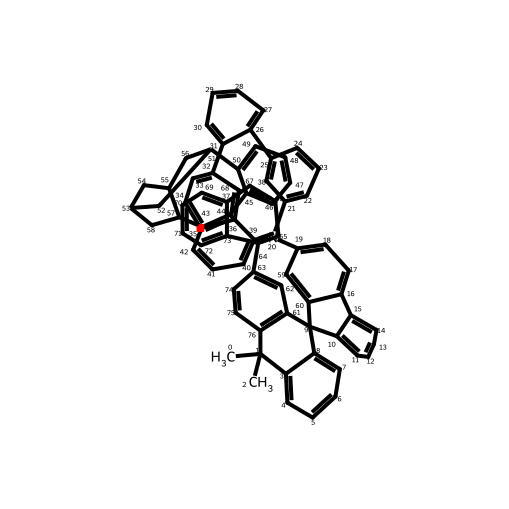 CC1(C)c2ccccc2C2(c3ccccc3-c3ccc(N(c4cccc(-c5ccccc5-c5ccccc5)c4)c4cccc5c4-c4ccccc4C4CC6CC(C4)C5C6)cc32)c2cc(-c3cccc4ccccc34)ccc21